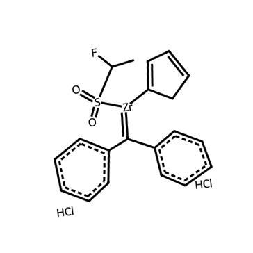 CC(F)[S](=O)(=O)[Zr]([C]1=CC=CC1)=[C](c1ccccc1)c1ccccc1.Cl.Cl